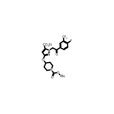 CCOC(=O)c1cc(OC2CCN(C(=O)OC(C)(C)C)CC2)nn1CC(=O)c1ccc(F)c(C(F)(F)F)c1